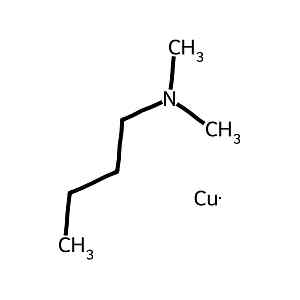 CCCCN(C)C.[Cu]